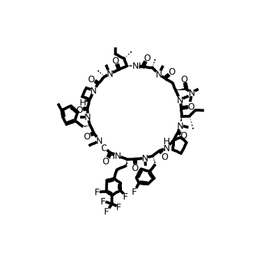 CC[C@H](C)[C@@H]1NC(=O)[C@H](C)N(C)C(=O)C[C@@H](C(=O)N(C)C)N(C)C(=O)[C@H]([C@@H](C)CC)N(C)C(=O)C2(CCCC2)NC(=O)[C@H](Cc2ccc(F)cc2)N(C)C(=O)[C@H](CCc2cc(F)c(C(F)(F)F)c(F)c2)NC(=O)CN(C)C(=O)[C@H](Cc2ccc(C)cc2)N(C)C(=O)[C@@H]2CCN2C(=O)[C@H](C)N(C)C1=O